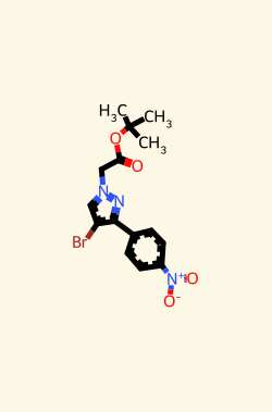 CC(C)(C)OC(=O)Cn1cc(Br)c(-c2ccc([N+](=O)[O-])cc2)n1